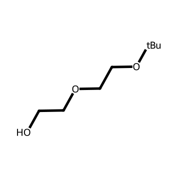 [CH2]C(C)(C)OCCOCCO